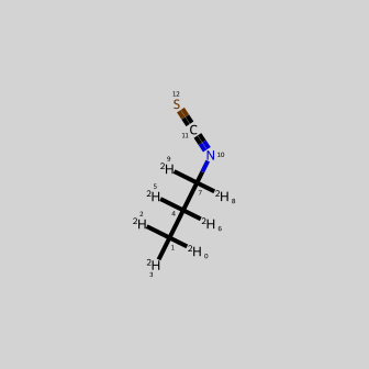 [2H]C([2H])([2H])C([2H])([2H])C([2H])([2H])N=C=S